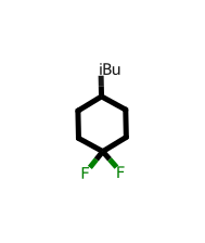 CCC(C)C1CCC(F)(F)CC1